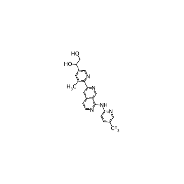 Cc1cc(C(O)CO)cnc1-c1cc2ccnc(Nc3ccc(C(F)(F)F)cn3)c2cn1